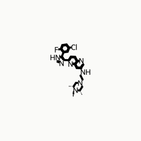 C[C@@H]1CN(CCNc2cnc3ccc(-c4nc[nH]c4-c4cc(Cl)ccc4F)nc3c2)C[C@H](C)N1I